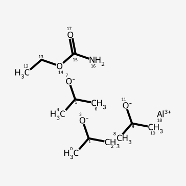 CC(C)[O-].CC(C)[O-].CC(C)[O-].CCOC(N)=O.[Al+3]